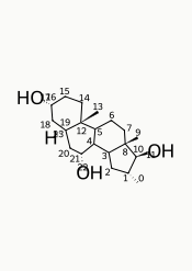 C[C@@H]1CC2C3C(CC[C@]2(C)[C@H]1O)[C@@]1(C)CC[C@@H](O)C[C@@H]1C[C@H]3O